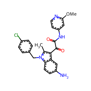 COc1cc(NC(=O)C(=O)c2c(C)n(Cc3ccc(Cl)cc3)c3ccc(N)cc23)ccn1